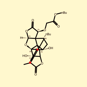 CCCCOC(=O)CO[C@@H]1C(=O)O[C@@H]2O[C@]34C(=O)OC5C[C@@H](CCCC)C21C53[C@H](O)C1OC(=O)C(C)[C@]14O